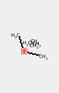 CCCCCCCCOP(=O)([O-])OCCCCCCCC.C[P+](C)(C)C